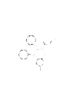 C=CC(=O)N1Cc2sc(C)cc2[C@@H](c2ccccc2-c2cc(C)ccn2)C1